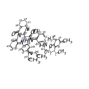 CCCCC(OCNc1ccc(Cl)c(NC(=O)/C(=N\c2ccc(N(CC)CC)cc2)C2=NC3CCCCC3C(=O)N2c2ccccc2)c1)Oc1ccc(C)cc1C